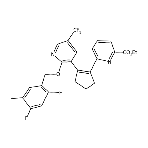 CCOC(=O)c1cccc(C2=C(c3cc(C(F)(F)F)cnc3OCc3cc(F)c(F)cc3F)CCC2)n1